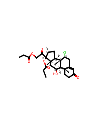 CCC(=O)OCC(=O)[C@@]1(OC(=O)CC)[C@H](C)C[C@H]2[C@H]3[C@H]([C@@H](O)C[C@@]21C)[C@@]1(C)CCC(=O)C=C1C[C@H]3Cl